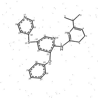 CC(C)C1=CCCC(Nc2ncc(Sc3ccncc3)cc2Oc2ccccc2)=N1